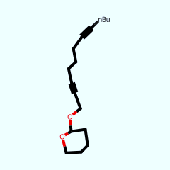 C[CH]CCC#CCCCC#CCOC1CCCCO1